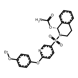 CCOc1ccc(Oc2ccc(S(=O)(=O)N3CCc4ccccc4[C@H]3OC(N)=O)cn2)cc1